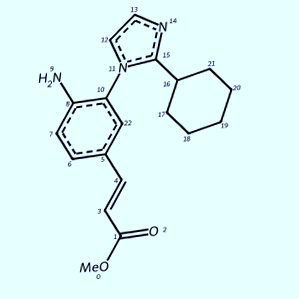 COC(=O)C=Cc1ccc(N)c(-n2ccnc2C2CCCCC2)c1